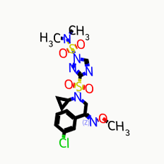 CO/N=C(\CN(C1CC1)S(=O)(=O)c1ncn(S(=O)(=O)N(C)C)n1)c1cccc(Cl)c1